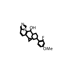 COc1ccc(C2CCC(C(O)c3c(C4CC4)ccc4cncn34)CC2)c(F)c1